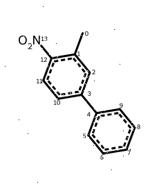 Cc1cc(-c2cc[c]cc2)ccc1[N+](=O)[O-]